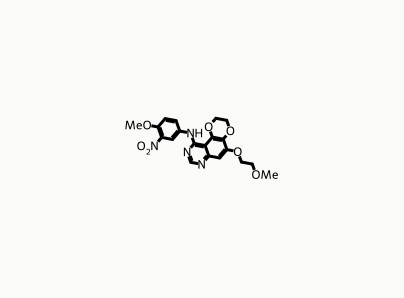 COCCOc1cc2ncnc(Nc3ccc(OC)c([N+](=O)[O-])c3)c2c2c1OCCO2